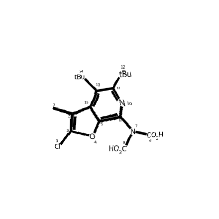 Cc1c(Cl)oc2c(N(C(=O)O)C(=O)O)nc(C(C)(C)C)c(C(C)(C)C)c12